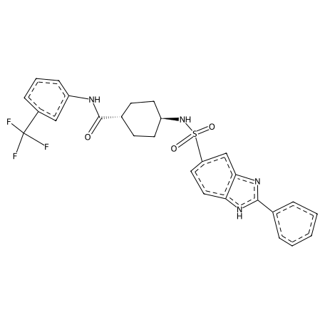 O=C(Nc1cccc(C(F)(F)F)c1)[C@H]1CC[C@H](NS(=O)(=O)c2ccc3[nH]c(-c4ccccc4)nc3c2)CC1